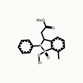 CCOP1(=O)c2c(C)cccc2C(CC(=O)OC)N1c1ccccc1